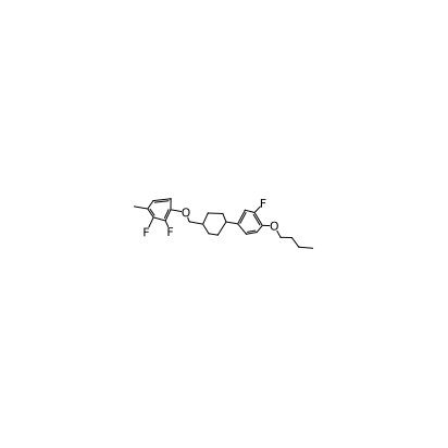 CCCCOc1ccc(C2CCC(COc3ccc(C)c(F)c3F)CC2)cc1F